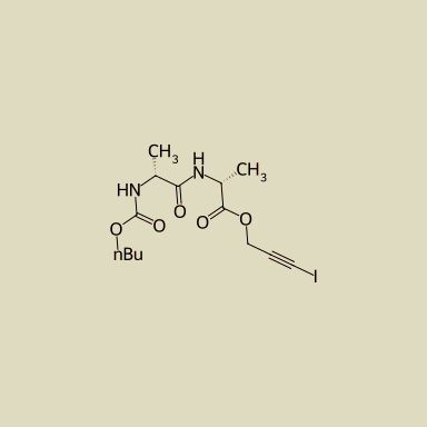 CCCCOC(=O)N[C@H](C)C(=O)N[C@H](C)C(=O)OCC#CI